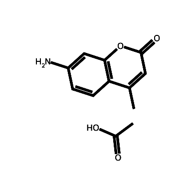 CC(=O)O.Cc1cc(=O)oc2cc(N)ccc12